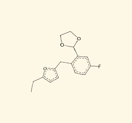 CCc1ccc(Cc2ccc(F)cc2C2OCCO2)o1